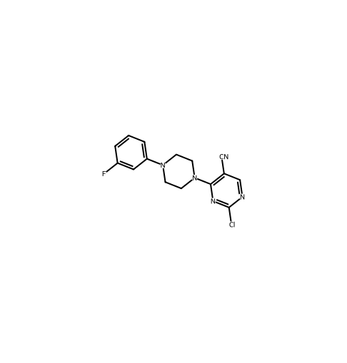 N#Cc1cnc(Cl)nc1N1CCN(c2cccc(F)c2)CC1